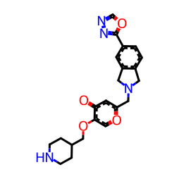 O=c1cc(CN2Cc3ccc(-c4nnco4)cc3C2)occ1OCC1CCNCC1